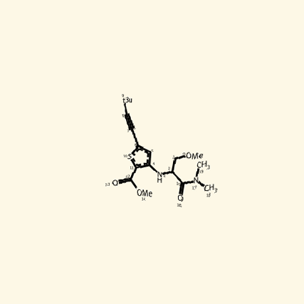 COCC(Nc1cc(C#CC(C)(C)C)sc1C(=O)OC)C(=O)N(C)C